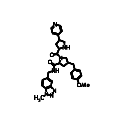 COc1ccc(CC2CC(C(=O)NCc3ccc4c(c3)nnn4C)N(C(=O)C3CC(c4ccncc4)CN3)C2)cc1